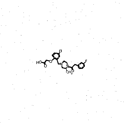 C[C@H]1CN(Cc2cc(Cl)ccc2OCC(=O)O)CCN1C(=O)Cc1cccc(F)c1